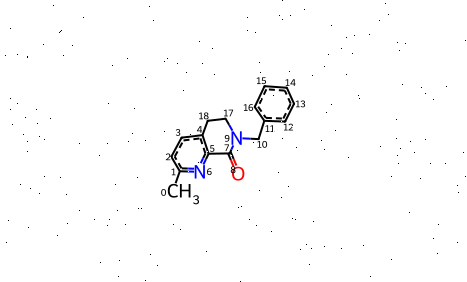 Cc1ccc2c(n1)C(=O)N(Cc1ccccc1)CC2